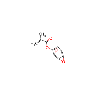 C=C(C)C(=O)Oc1cc2oc1c1c2O1